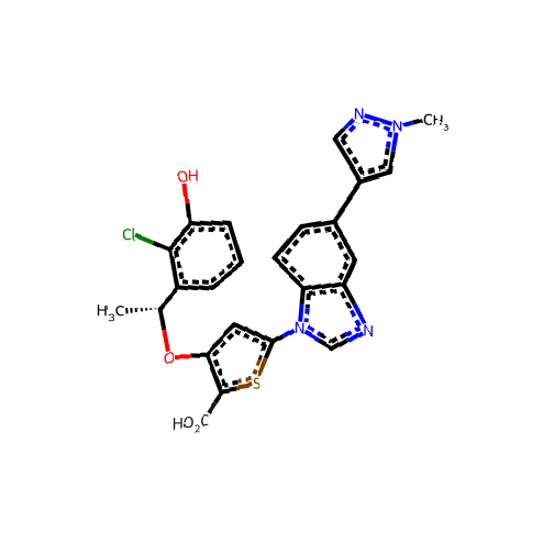 C[C@@H](Oc1cc(-n2cnc3cc(-c4cnn(C)c4)ccc32)sc1C(=O)O)c1cccc(O)c1Cl